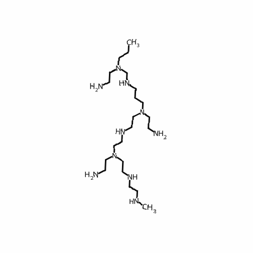 CCCN(CCN)CNCCCN(CCN)CCNCCN(CCN)CCNCCNC